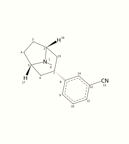 CN1[C@@H]2CC[C@H]1C[C@@H](c1cccc(C#N)c1)C2